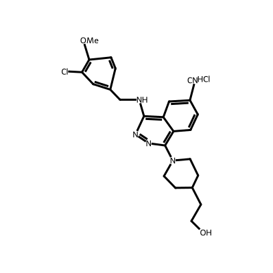 COc1ccc(CNc2nnc(N3CCC(CCO)CC3)c3ccc(C#N)cc23)cc1Cl.Cl